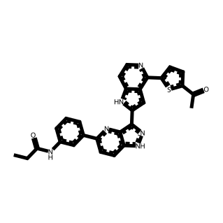 CCC(=O)Nc1cccc(-c2ccc3[nH]nc(-c4cc5c(-c6ccc(C(C)=O)s6)nccc5[nH]4)c3n2)c1